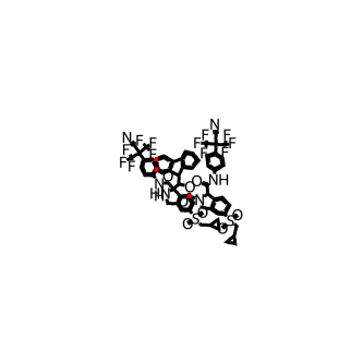 N#CC(c1ccc(NC(=O)C2c3ccc(S(=O)(=O)CC4CC4)cc3CN2C(=O)OC(C2c3ccccc3-c3ccccc32)C2(C(=O)Nc3ccc(C(C#N)(C(F)(F)F)C(F)(F)F)cc3)NCc3cc(S(=O)(=O)CC4CC4)ccc32)cc1)(C(F)(F)F)C(F)(F)F